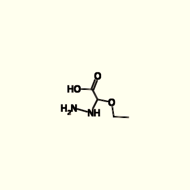 CCOC(NN)C(=O)O